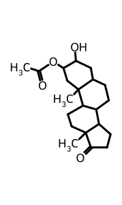 CC(=O)OC1CC2(C)C(CCC3C4CCC(=O)C4(C)CCC32)CC1O